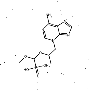 COC(OC(C)Cn1cnc(N)c2ncnc1-2)P(=O)(O)O